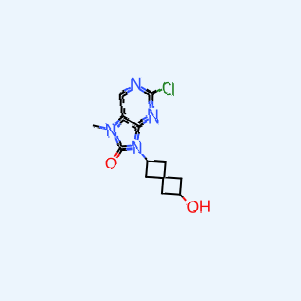 Cn1c(=O)n(C2CC3(CC(O)C3)C2)c2nc(Cl)ncc21